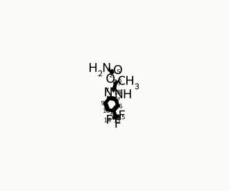 C[C@H](OC(N)=O)c1nc2ccc(C(F)(F)F)cc2[nH]1